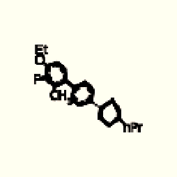 CCC[C@H]1CC[C@H](c2ccc(-c3ccc(OCC)c(F)c3C)cc2)CC1